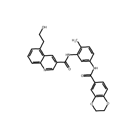 Cc1ccc(NC(=O)c2ccc3c(c2)OCCO3)cc1NC(=O)c1cnc2cccc(CCO)c2c1